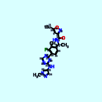 Cc1c([C@@H](C)NC(=O)c2cc(C(C)(C)C)on2)ccc(-c2ncnc(Nc3cnn(C)c3)n2)c1F